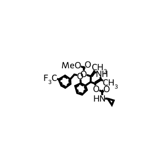 COC(=O)OC1=C(C)NC(C)=C(OC(=O)NC2CC2)C1c1ccccc1OCc1cccc(C(F)(F)F)c1